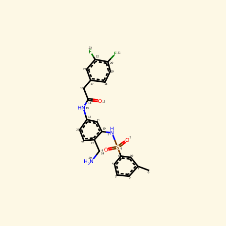 Cc1cccc(S(=O)(=O)Nc2cc(NC(=O)Cc3ccc(F)c(F)c3)ccc2CN)c1